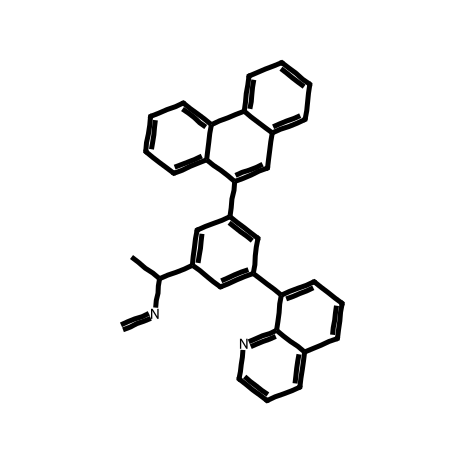 C=NC(C)c1cc(-c2cc3ccccc3c3ccccc23)cc(-c2cccc3cccnc23)c1